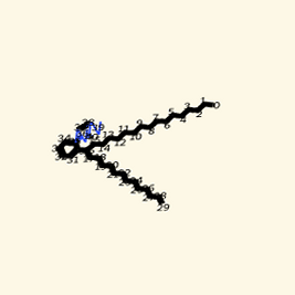 CCCCCCCCCCCCCCCCC(CCCCCCCCCCCCC)c1ccccc1-n1ccnc1